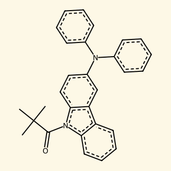 CC(C)(C)C(=O)n1c2ccccc2c2cc(N(c3ccccc3)c3ccccc3)ccc21